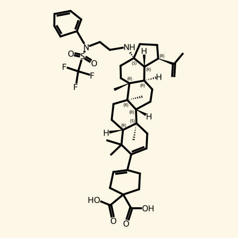 C=C(C)[C@@H]1CC[C@]2(NCCN(c3ccccc3)S(=O)(=O)C(F)(F)F)CC[C@]3(C)[C@H](CC[C@@H]4[C@@]5(C)CC=C(C6=CCC(C(=O)O)(C(=O)O)CC6)C(C)(C)[C@@H]5CC[C@]43C)[C@@H]12